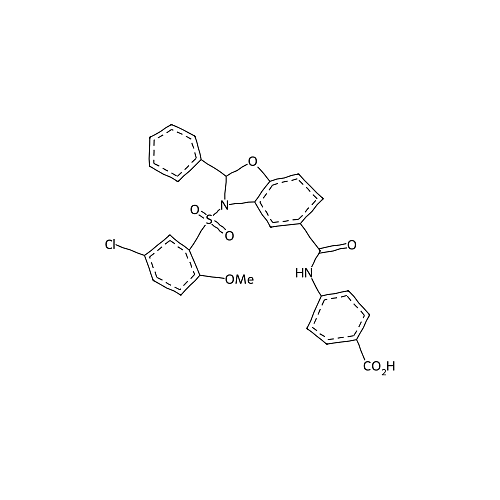 COc1ccc(Cl)cc1S(=O)(=O)N1c2cc(C(=O)Nc3ccc(C(=O)O)cc3)ccc2OC1c1ccccc1